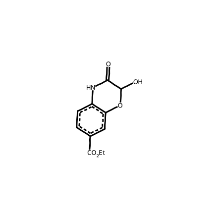 CCOC(=O)c1ccc2c(c1)OC(O)C(=O)N2